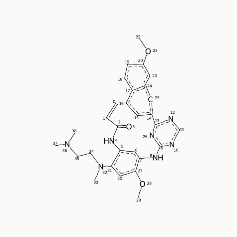 C=CC(=O)Nc1cc(Nc2ncnc(-c3ccc4ccc(OC)cc4c3)n2)c(OC)cc1N(C)CCN(C)C